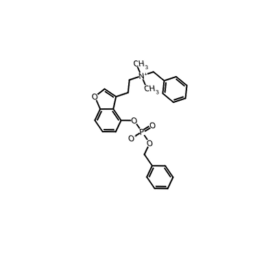 C[N+](C)(CCc1coc2cccc(OP(=O)([O-])OCc3ccccc3)c12)Cc1ccccc1